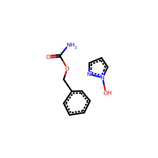 NC(=O)OCc1ccccc1.On1cccn1